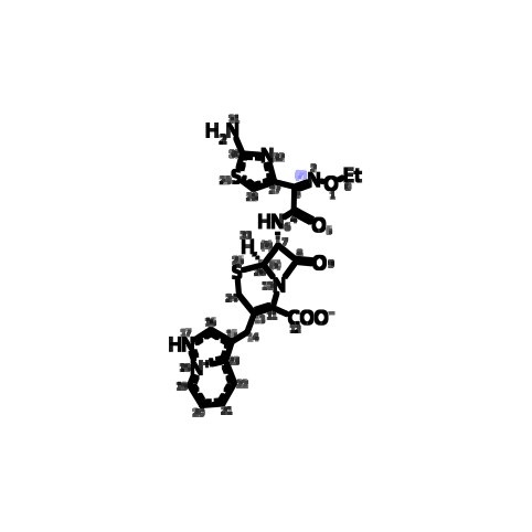 CCO/N=C(\C(=O)N[C@@H]1C(=O)N2C(C(=O)[O-])=C(Cc3c[nH][n+]4ccccc34)CS[C@@H]12)c1csc(N)n1